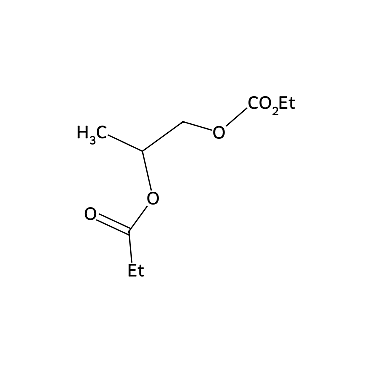 CCOC(=O)OCC(C)OC(=O)CC